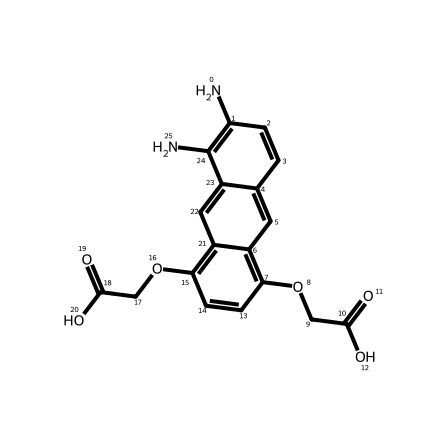 Nc1ccc2cc3c(OCC(=O)O)ccc(OCC(=O)O)c3cc2c1N